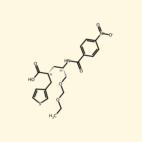 CCOCOC[C@H](C[C@H](Cc1ccsc1)C(=O)O)NC(=O)c1ccc([N+](=O)[O-])cc1